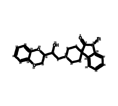 CCN1C(=O)C2(CCN(CC(O)C3COc4ccccc4O3)CC2)c2ccccc21